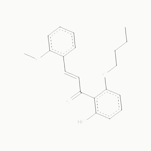 CCCCOc1cccc(O)c1C(=O)/C=C/c1ccccc1OC